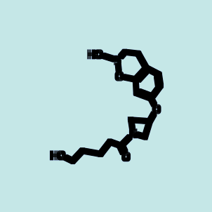 O=C(CCCCO)N1CC(Oc2ccc3c(c2)OB(O)CC3)C1